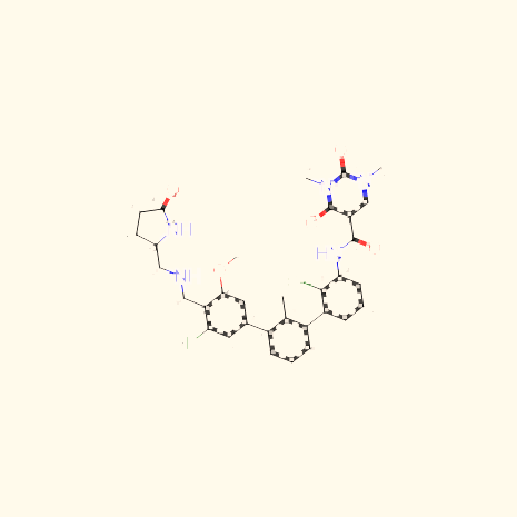 COc1cc(-c2cccc(-c3cccc(NC(=O)c4cn(C)c(=O)n(C)c4=O)c3Cl)c2C)cc(F)c1CNCC1CCC(=O)N1